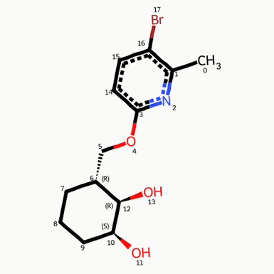 Cc1nc(OC[C@H]2CCC[C@H](O)[C@@H]2O)ccc1Br